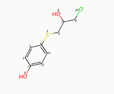 Oc1ccc(SCC(O)CCl)cc1